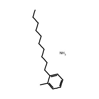 CCCCCCCCCCc1ccccc1C.N